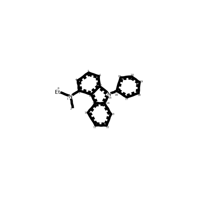 CCN(C)c1cccc2c1c1ccccc1n2-c1ccccc1